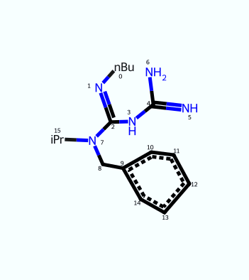 CCCCN=C(NC(=N)N)N(Cc1ccccc1)C(C)C